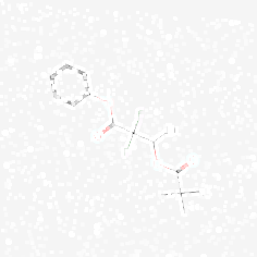 CCC(OC(=O)C(C)(C)CC)C(F)(F)C(=O)Oc1ccccc1